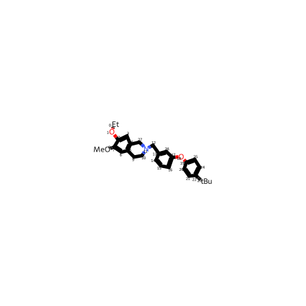 CCOc1cc2c(cc1OC)CCN(Cc1cccc(Oc3ccc(C(C)(C)C)cc3)c1)C2